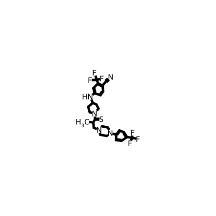 CC(CN1CCN(c2ccc(C(F)(F)F)cc2)CC1)C(=S)N1CCC(Nc2ccc(C#N)c(C(F)(F)F)c2)CC1